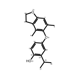 Cc1cc2c(c(C)c1Oc1ccc(O)c(C(C)C)c1)C[C]O2